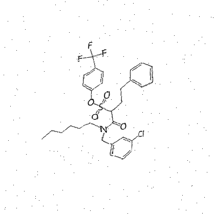 CCCCCCN(Cc1cccc(Cl)c1)C(=O)C(CCc1ccccc1)S(=O)(=O)Oc1ccc(C(F)(F)F)cc1